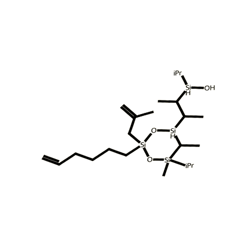 C=CCCCC[Si]1(CC(=C)C)O[SiH](C(C)C(C)[SiH](O)C(C)C)C(C)[Si](C)(C(C)C)O1